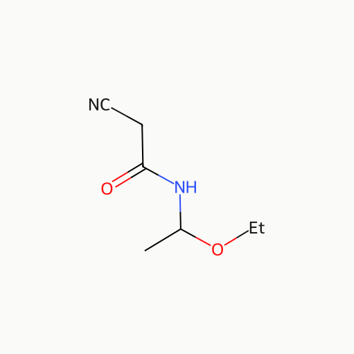 CCOC(C)NC(=O)CC#N